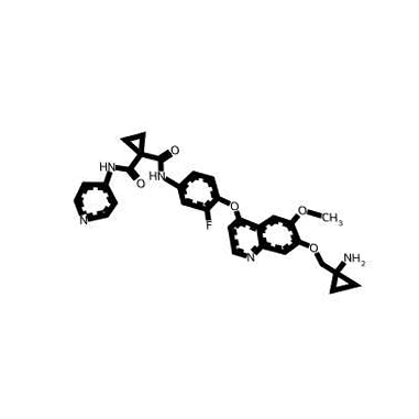 COc1cc2c(Oc3ccc(NC(=O)C4(C(=O)Nc5ccncc5)CC4)cc3F)ccnc2cc1OCC1(N)CC1